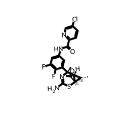 CC(=O)[C@@]12SC(N)=N[C@](C)(c3cc(NC(=O)c4ccc(Cl)cn4)cc(F)c3F)[C@@H]1[C@@H]2C